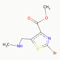 CNCc1sc(Br)nc1C(=O)OC